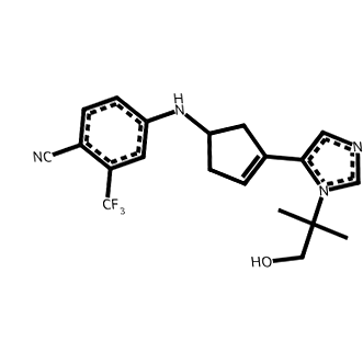 CC(C)(CO)n1cncc1C1=CCC(Nc2ccc(C#N)c(C(F)(F)F)c2)C1